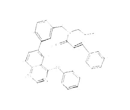 CCCN(Cc1cccc(-c2ccc3ncnc(Nc4ccccc4)c3c2)c1)C(=O)/C=C/c1ccccc1